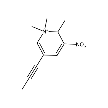 CC#CC1=C[N+](C)(C)C(C)C([N+](=O)[O-])=C1